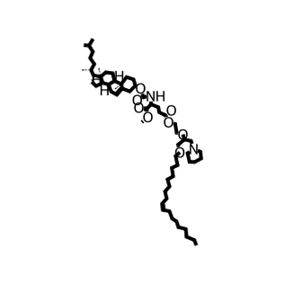 CCCCCCCC/C=C\CCCCCCCCOCC(CN1CCCCC1)OCCOC(=O)CCC(NC(=O)O[C@H]1CC[C@@]2(C)C(=CC[C@H]3[C@@H]4CC[C@H]([C@H](C)CCCC(C)C)[C@@]4(C)CC[C@@H]32)C1)C(=O)OC